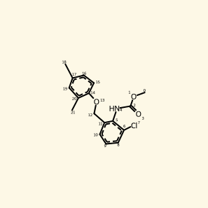 COC(=O)Nc1c(Cl)cccc1COc1ccc(C)cc1C